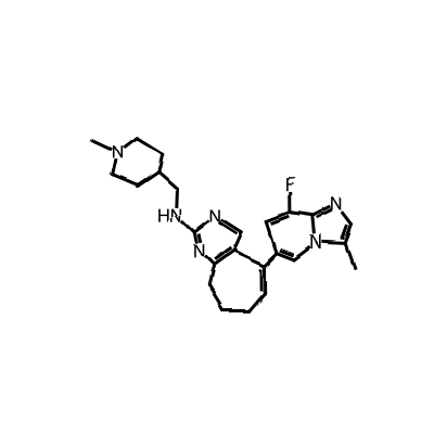 Cc1cnc2c(F)cc(C3=CCCCc4nc(NCC5CCN(C)CC5)ncc43)cn12